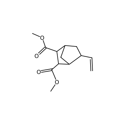 C=CC1CC2CC1C(C(=O)OC)C2C(=O)OC